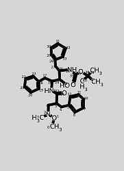 CON(C)CC(Cc1ccccc1)C(=O)NC(Cc1ccccc1)C(O)C(Cc1ccccc1)NC(=O)OC(C)(C)C